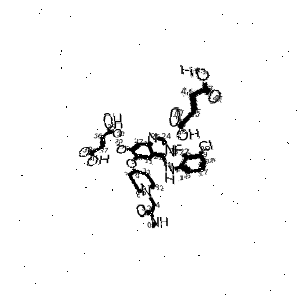 CNC(=O)CN1CCC(Oc2cc3c(Nc4cccc(Cl)c4F)ncnc3cc2OC)CC1.O=C(O)C=CC(=O)O.O=C(O)C=CC(=O)O